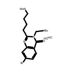 CNCCCCc1nc2cc(Br)ccc2c(=O)n1CC(C)(C)C.Cl.Cl